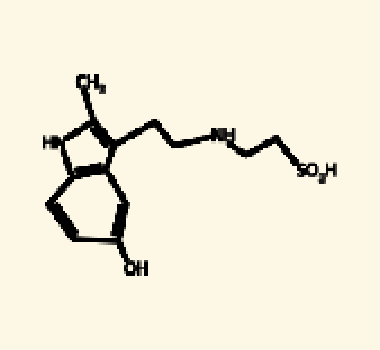 Cc1[nH]c2ccc(O)cc2c1CCNCCS(=O)(=O)O